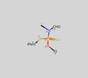 CCCC(C)SP(=S)(OCC)N(C)C=O